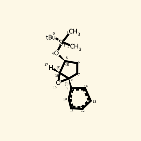 CC(C)(C)[Si](C)(C)O[C@H]1CC[C@]2(c3ccccc3)O[C@H]12